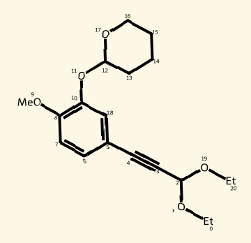 CCOC(C#Cc1ccc(OC)c(OC2CCCCO2)c1)OCC